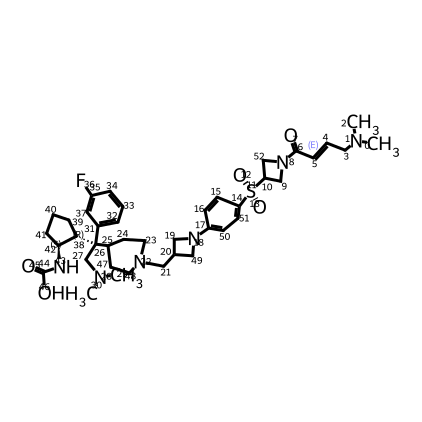 CN(C)C/C=C/C(=O)N1CC(S(=O)(=O)c2ccc(N3CC(CN4CCC(C(CN(C)C)(c5cccc(F)c5)[C@H]5CCC[C@@H]5NC(=O)O)CC4)C3)cc2)C1